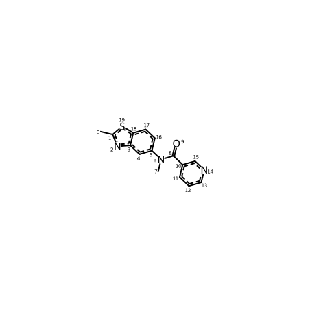 Cc1nc2cc(N(C)C(=O)c3cccnc3)ccc2s1